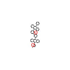 Cc1ccc(-c2c3ccccc3c(-c3ccc4oc5c(-c6c7ccccc7c(-c7ccccc7)c7ccccc67)cccc5c4c3)c3ccccc23)o1